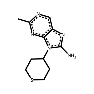 Cc1ncc2nc(N)n(C3CCSCC3)c2n1